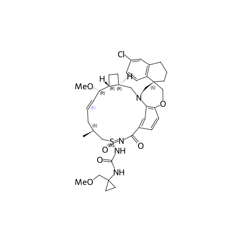 COCC1(NC(=O)N[S@@]2(=O)=NC(=O)c3ccc4c(c3)N(C[C@@H]3CC[C@H]3[C@@H](OC)/C=C/C[C@H](C)C2)C[C@@]2(CCCc3cc(Cl)ccc32)CO4)CC1